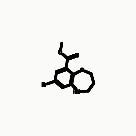 COC(=O)c1cc(Br)cc2c1OCCCN2